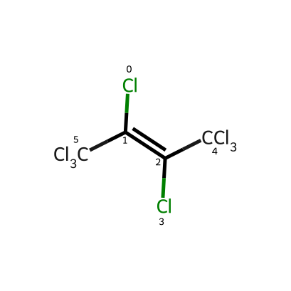 ClC(=C(Cl)C(Cl)(Cl)Cl)C(Cl)(Cl)Cl